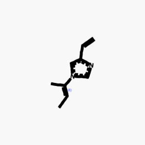 C=Cc1cn(/C(C)=C/C)cn1